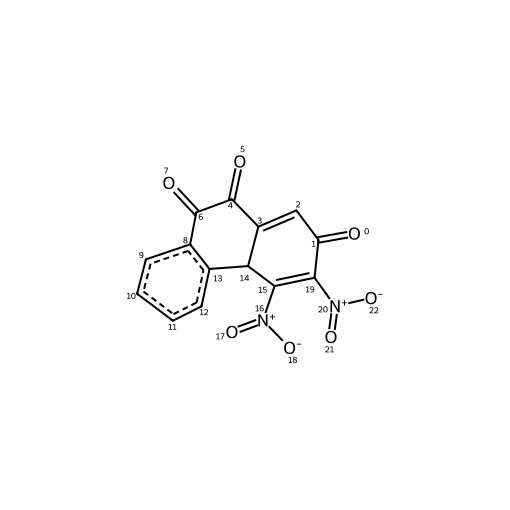 O=C1C=C2C(=O)C(=O)c3ccccc3C2C([N+](=O)[O-])=C1[N+](=O)[O-]